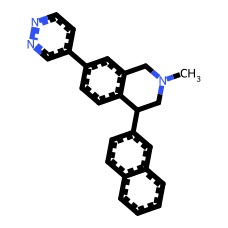 CN1Cc2cc(-c3ccnnc3)ccc2C(c2ccc3ccccc3c2)C1